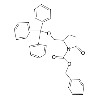 O=C1CCC(COC(c2ccccc2)(c2ccccc2)c2ccccc2)N1C(=O)OCc1ccccc1